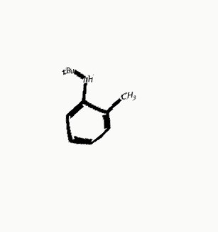 Cc1ccccc1NC(C)(C)C